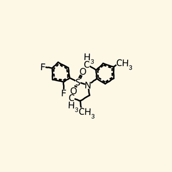 Cc1ccc(N(CC(C)C)S(=O)(=O)c2ccc(F)cc2F)c(C)c1